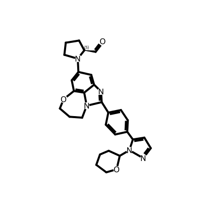 O=C[C@@H]1CCCN1c1cc2c3c(c1)nc(-c1ccc(-c4ccnn4C4CCCCO4)cc1)n3CCCO2